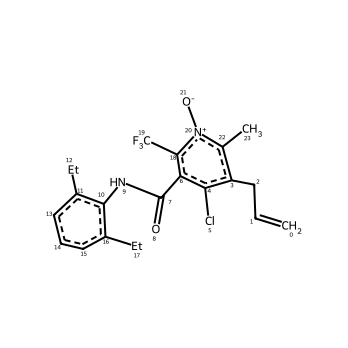 C=CCc1c(Cl)c(C(=O)Nc2c(CC)cccc2CC)c(C(F)(F)F)[n+]([O-])c1C